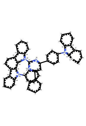 c1ccc(-c2cc(-c3ccc(-n4c5ccccc5c5ccccc54)cc3)nc(-n3c4ccccc4c4ccc5c6ccccc6n(-c6ccccc6)c5c43)n2)cc1